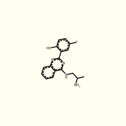 CC(N)CNc1nc(-c2cc(F)ccc2O)nc2ccccc12